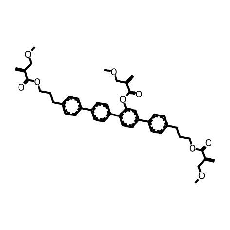 C=C(COC)C(=O)OCCCc1ccc(-c2ccc(-c3ccc(-c4ccc(CCCOC(=O)C(=C)COC)cc4)cc3OC(=O)C(=C)COC)cc2)cc1